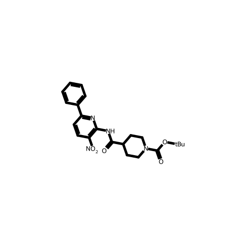 CC(C)(C)OC(=O)N1CCC(C(=O)Nc2nc(-c3ccccc3)ccc2[N+](=O)[O-])CC1